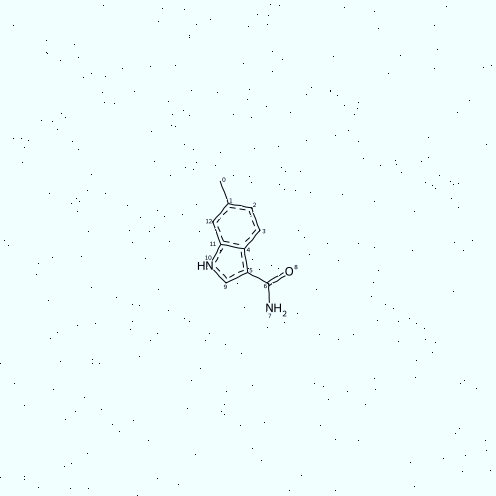 Cc1ccc2c(C(N)=O)c[nH]c2c1